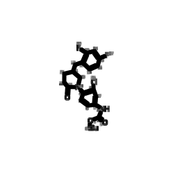 CC(C)(C)OC(=O)Nc1ccc(N2CC(Cc3ccc(F)cc3F)CCC2=O)c(Cl)c1